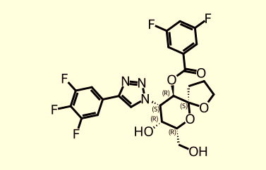 O=C(O[C@@H]1[C@@H](n2cc(-c3cc(F)c(F)c(F)c3)nn2)[C@@H](O)[C@@H](CO)O[C@@]12CCCO2)c1cc(F)cc(F)c1